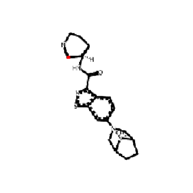 CN1C2CCC1CN(c1ccc3c(C(=O)N[C@H]4CN5CCC4CC5)nsc3c1)C2